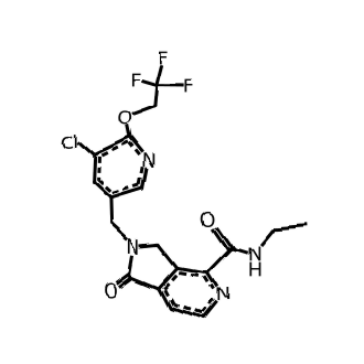 CCNC(=O)c1nccc2c1CN(Cc1cnc(OCC(F)(F)F)c(Cl)c1)C2=O